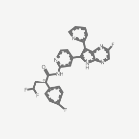 O=C(Nc1cc(-c2[nH]c3ncc(F)nc3c2-c2ccccn2)ccn1)[C@H](CC(F)F)c1ccc(F)cc1